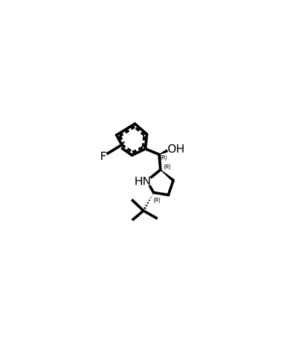 CC(C)(C)[C@H]1CC[C@H]([C@H](O)c2cccc(F)c2)N1